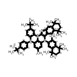 Cc1cc2c3c(c1)N(c1cc4c(cc1C)C(C)(C)CCC4(C)C)c1c(sc4cc5c(cc14)C(C)(C)CCC5(C)C)B3c1cc(C(C)(C)C)ccc1N2c1ccc(C(C)(C)C)cc1